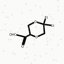 CCC1(CC)COC(C(=O)C=O)CO1